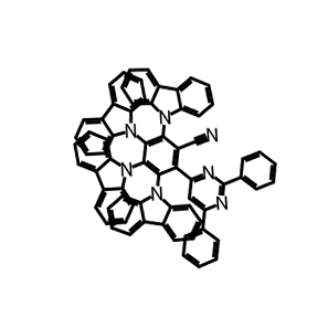 N#Cc1c(-c2cc(-c3ccccc3)nc(-c3ccccc3)n2)c(-n2c3ccccc3c3ccccc32)c(-n2c3ccccc3c3ccccc32)c(-n2c3ccccc3c3ccccc32)c1-n1c2ccccc2c2ccccc21